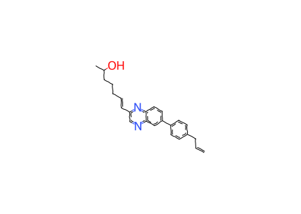 C=CCc1ccc(-c2ccc3nc(C=CCCCC(C)O)cnc3c2)cc1